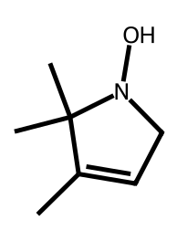 CC1=CCN(O)C1(C)C